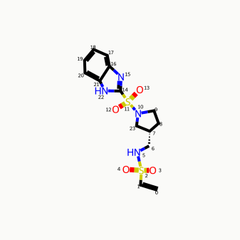 C=CS(=O)(=O)NC[C@H]1CCN(S(=O)(=O)c2nc3ccccc3[nH]2)C1